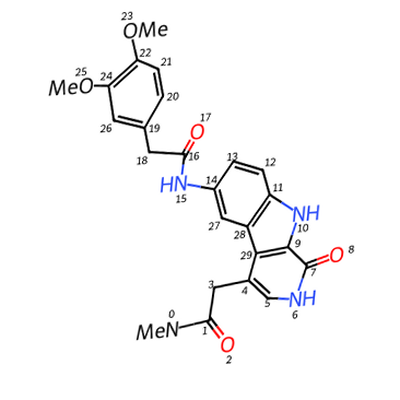 CNC(=O)Cc1c[nH]c(=O)c2[nH]c3ccc(NC(=O)Cc4ccc(OC)c(OC)c4)cc3c12